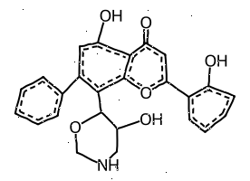 O=c1cc(-c2ccccc2O)oc2c(C3OCNCC3O)c(-c3ccccc3)cc(O)c12